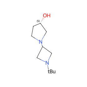 CC(C)(C)N1CC(N2CC[C@H](O)C2)C1